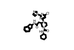 O=C(CC1CN(C(=O)NC2CCCCC2)CCN1c1cc(Cl)nc(-n2ccnc2)n1)NC1Cc2ccccc2C1